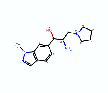 Cn1ncc2ccc(C(O)[C@H](N)CN3CCCC3)cc21